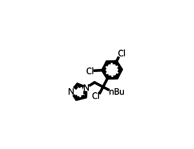 CCCCC(Cl)(Cn1ccnc1)c1ccc(Cl)cc1Cl